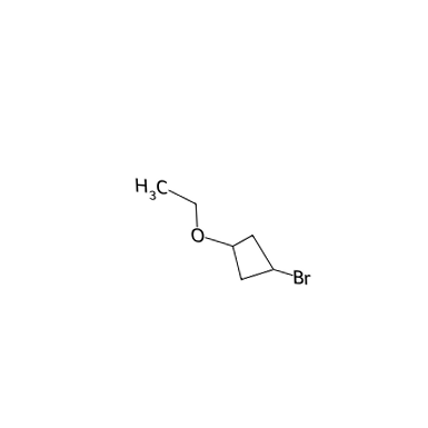 CCOC1CC(Br)C1